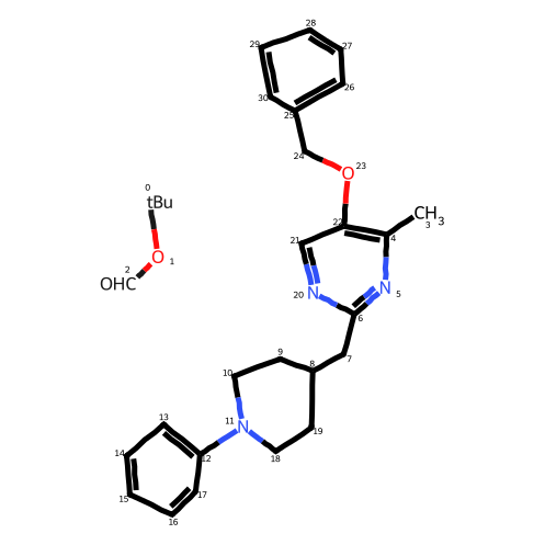 CC(C)(C)OC=O.Cc1nc(CC2CCN(c3ccccc3)CC2)ncc1OCc1ccccc1